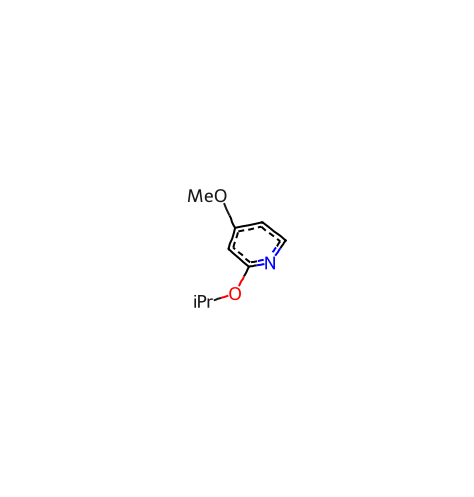 COc1ccnc(OC(C)C)c1